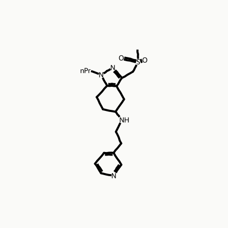 CCCn1nc(CS(C)(=O)=O)c2c1CCC(NCCc1cccnc1)C2